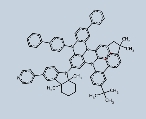 CC1(C)Cc2cc3c(cc2C1)N(c1ccc(C(C)(C)C)cc1-c1ccccc1)c1cc(N2c4ccc(-c5ccncc5)cc4C4(C)CCCCC24C)cc2c1B3c1cc(-c3ccccc3)ccc1N2c1ccc(-c2ccccc2)cc1